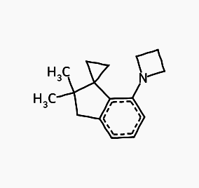 CC1(C)Cc2cccc(N3CCC3)c2C12CC2